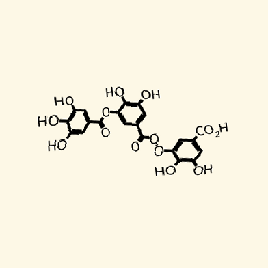 O=C(O)c1cc(O)c(O)c(OOC(=O)c2cc(O)c(O)c(OC(=O)c3cc(O)c(O)c(O)c3)c2)c1